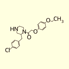 CCOc1ccc(OCC(=O)N2CCNCC2Cc2ccc(Cl)cc2)cc1